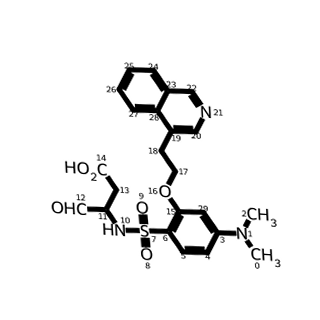 CN(C)c1ccc(S(=O)(=O)NC(C=O)CC(=O)O)c(OCCc2cncc3ccccc23)c1